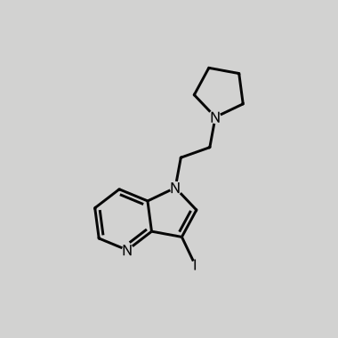 Ic1cn(CCN2CCCC2)c2cccnc12